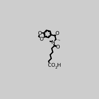 C[C@@H](C(=O)c1ccc2c(c1)OCO2)N(C)C(=O)CCCCCC(=O)O